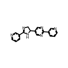 c1cncc(C2=NCC(c3cnc(-c4cccnc4)nc3)N2)c1